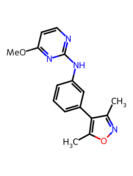 COc1ccnc(Nc2cccc(-c3c(C)noc3C)c2)n1